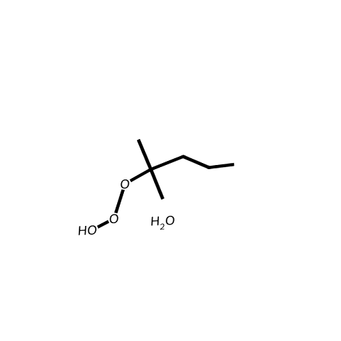 CCCC(C)(C)OOO.O